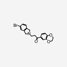 O=C(CCN1Cc2ccc(Br)cc2C1)c1ccc2c(c1)OCCO2